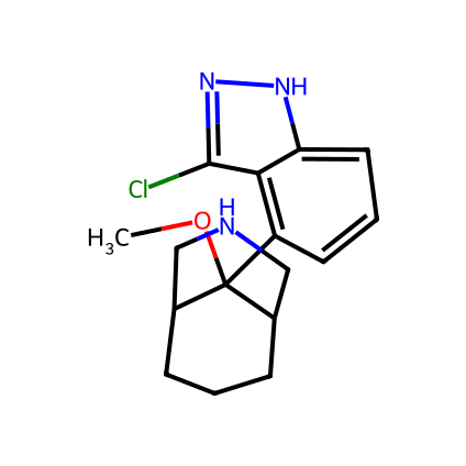 COC1(c2cccc3[nH]nc(Cl)c23)C2CCCC1CNC2